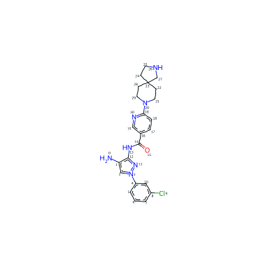 Nc1cn(-c2cccc(Cl)c2)nc1NC(=O)c1ccc(N2CCC3(CCNC3)CC2)nc1